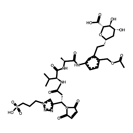 CC(=O)OCc1ccc(NC(=O)[C@H](C)NC(=O)[C@@H](NC(=O)C[C@@H](c2cn(CCCS(=O)(=O)O)nn2)N2C(=O)C=CC2=O)C(C)C)cc1CC[C@H]1C[C@@H](O)[C@H](O)[C@@H](C(=O)O)O1